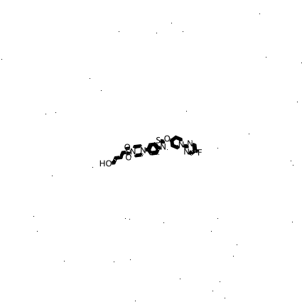 O=S(=O)(CCCCO)N1CCN(c2ccc3nc(OC4CCN(c5ncc(F)cn5)CC4)sc3c2)CC1